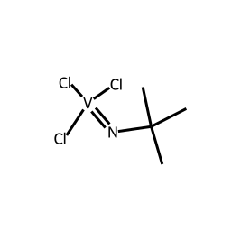 CC(C)(C)[N]=[V]([Cl])([Cl])[Cl]